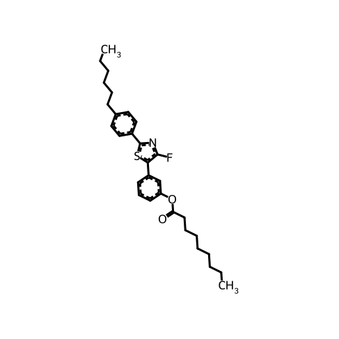 CCCCCCCCC(=O)Oc1cccc(-c2sc(-c3ccc(CCCCCC)cc3)nc2F)c1